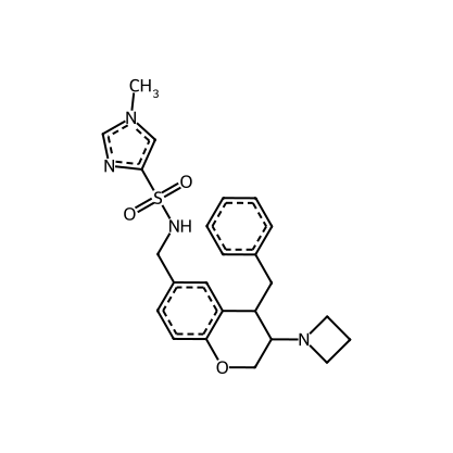 Cn1cnc(S(=O)(=O)NCc2ccc3c(c2)C(Cc2ccccc2)C(N2CCC2)CO3)c1